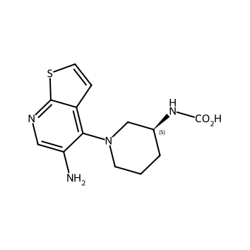 Nc1cnc2sccc2c1N1CCC[C@H](NC(=O)O)C1